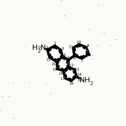 Nc1ccc2c(-c3ccccc3)c3cc(N)ccc3cc2c1